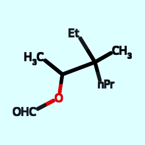 CCCC(C)(CC)C(C)OC=O